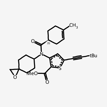 COC(=O)c1sc(C#CC(C)(C)C)cc1N(C(=O)[C@@H]1CC=C(C)CC1)C1CCC2(CC1)CO2